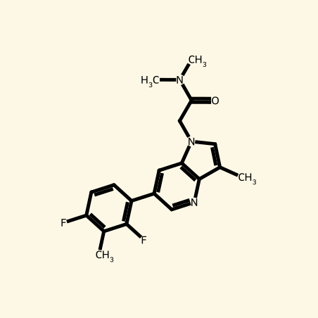 Cc1c(F)ccc(-c2cnc3c(C)cn(CC(=O)N(C)C)c3c2)c1F